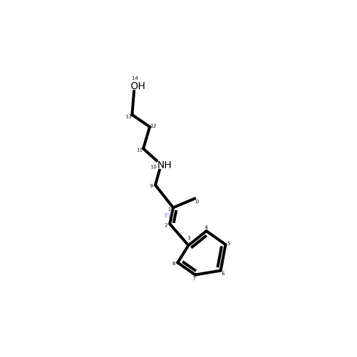 C/C(=C\c1ccccc1)CNCCCO